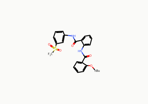 CCCCOc1ccccc1C(=O)Nc1ccccc1C(=O)Nc1cccc(S(=O)(=O)C(F)(F)F)c1